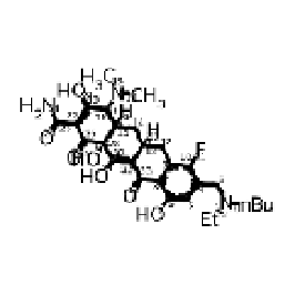 CCCCN(CC)Cc1cc(O)c2c(c1F)C[C@H]1C[C@H]3[C@H](N(C)C)C(O)=C(C(N)=O)C(=O)[C@@]3(O)C(O)=C1C2=O